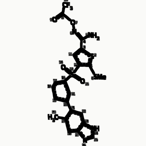 CSc1sc(C(N)=NOC(=O)C(F)(F)F)cc1S(=O)(=O)c1cccc(-c2cc3[nH]cnc3cc2C)c1